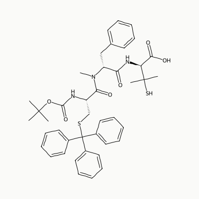 CN(C(=O)[C@H](CSC(c1ccccc1)(c1ccccc1)c1ccccc1)NC(=O)OC(C)(C)C)[C@H](Cc1ccccc1)C(=O)N[C@@H](C(=O)O)C(C)(C)S